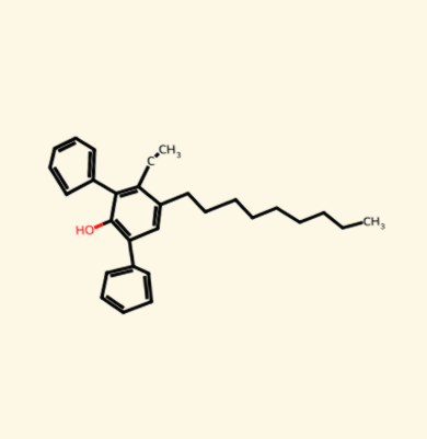 CCCCCCCCCc1cc(-c2ccccc2)c(O)c(-c2ccccc2)c1CC